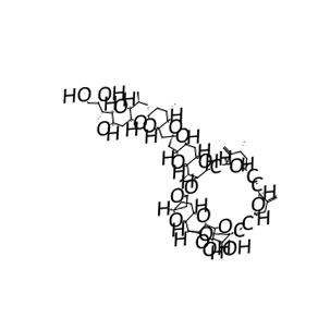 C=C1C[C@@H]2CC[C@]34OC5C6O[C@H]7CC[C@H](CC(=O)O[C@@H]8[C@@H](C)[C@@H]9O[C@@H]%10C[C@]%11(C[C@@H]%12O[C@]%13(C[C@H](C)[C@@H]%14O[C@@H]%15[C@@H]([C@@H](O)CO)CO[C@@H]%15C[C@@H]%14O%13)C[C@H](C)[C@@H]%12O%11)O[C@@H]%10C[C@@H]9O[C@H]8C[C@H]8O[C@@H](CC[C@@H]1O2)C[C@@H](C)C8=C)O[C@@H]7[C@H](O3)C6O[C@@]5(O)[C@H]4O